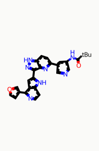 CC(C)(C)C(=O)Nc1cncc(-c2ccc3[nH]nc(-c4cc5c(-c6ccoc6)nccc5[nH]4)c3n2)c1